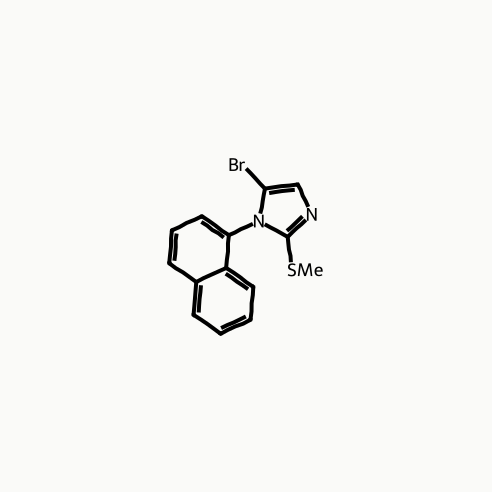 CSc1ncc(Br)n1-c1cccc2ccccc12